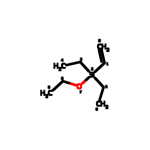 C=C[Si](CC)(CC)OCC